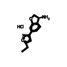 CCc1cc(-c2ccc3c(c2)OC[C@H]3N)no1.Cl